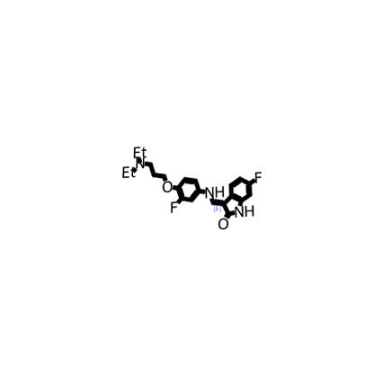 CCN(CC)CCCOc1ccc(N/C=C2/C(=O)Nc3cc(F)ccc32)cc1F